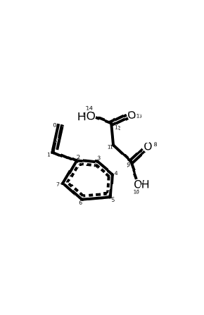 C=Cc1ccccc1.O=C(O)CC(=O)O